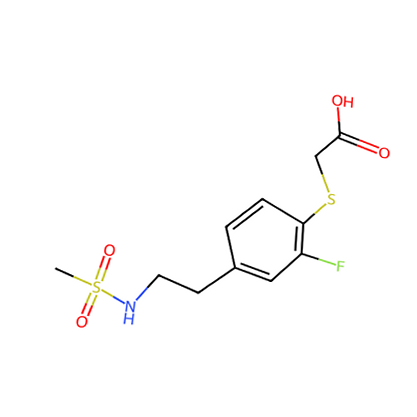 CS(=O)(=O)NCCc1ccc(SCC(=O)O)c(F)c1